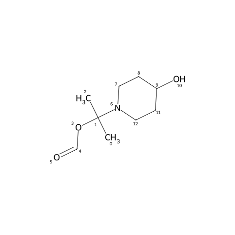 CC(C)(OC=O)N1CCC(O)CC1